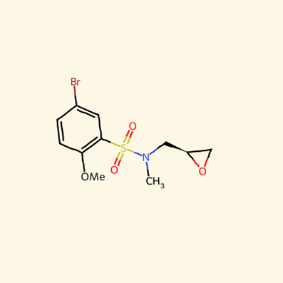 COc1ccc(Br)cc1S(=O)(=O)N(C)C[C@H]1CO1